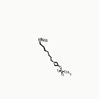 CCCCCCCCCCCCCCCCN1CC(OS(C)(=O)=O)C1